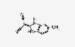 Cc1ccc2c(c1)NC(=C(C#N)C#N)N2